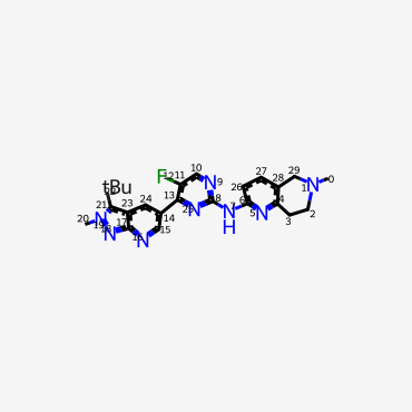 CN1CCc2nc(Nc3ncc(F)c(-c4cnc5nn(C)c(C(C)(C)C)c5c4)n3)ccc2C1